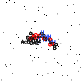 CC(=O)OC[C@H]1O[C@@H](OC[C@@H](OCNC(=O)CNC(=O)[C@H](Cc2ccccc2)NC(=O)CNC(=O)CNC(=O)OCC2c3ccccc3-c3ccccc32)C(=O)OCc2ccccc2)[C@H](OC(C)=O)[C@@H](OC(C)=O)[C@H]1OC(C)=O